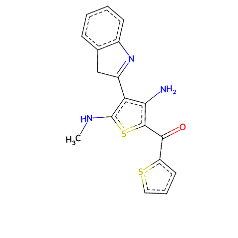 CNc1sc(C(=O)c2cccs2)c(N)c1C1=Nc2ccccc2C1